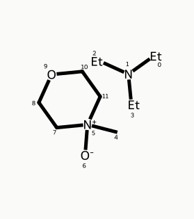 CCN(CC)CC.C[N+]1([O-])CCOCC1